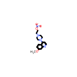 COc1ccc2c(N3CCN(CCO[N+](=O)[O-])CC3)ccnc2c1